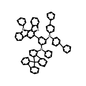 c1ccc(-c2ccc(N(c3ccc(-c4ccccc4)cc3)c3cc(-c4cc5c6ccccc6n(-c6ccccc6)c5c5c4sc4ccccc45)cc(N(c4ccccc4)c4cccc5c4-c4ccccc4C54c5ccccc5-c5ccccc54)c3)cc2)cc1